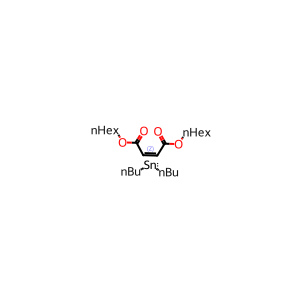 CCCCCCOC(=O)/C=C\C(=O)OCCCCCC.CCC[CH2][Sn][CH2]CCC